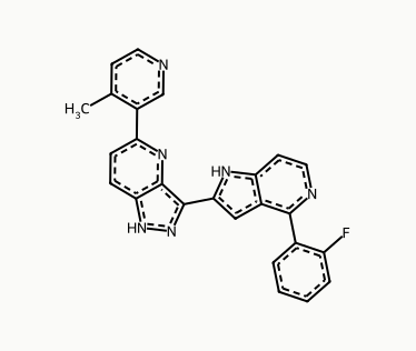 Cc1ccncc1-c1ccc2[nH]nc(-c3cc4c(-c5ccccc5F)nccc4[nH]3)c2n1